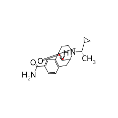 C[C@@H](C1CC1)N1CCC23CC(=O)CC[C@H]2C1Cc1ccc(C(N)=O)cc13